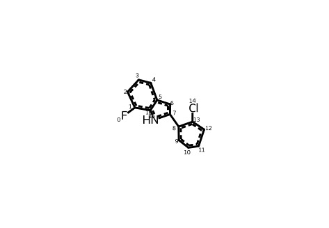 Fc1cccc2cc(-c3ccccc3Cl)[nH]c12